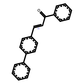 O=C(/C=C/c1ccc(-c2ccccc2)cc1)c1ccccc1